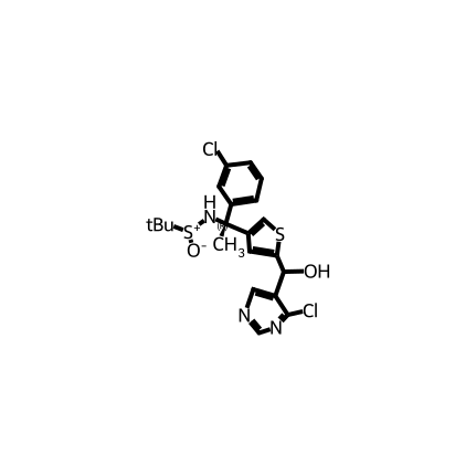 CC(C)(C)[S+]([O-])N[C@](C)(c1cccc(Cl)c1)c1csc(C(O)c2cncnc2Cl)c1